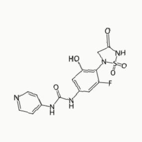 O=C1CN(c2c(O)cc(NC(=O)Nc3ccncc3)cc2F)S(=O)(=O)N1